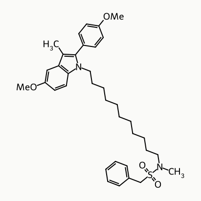 COc1ccc(-c2c(C)c3cc(OC)ccc3n2CCCCCCCCCCCN(C)S(=O)(=O)Cc2ccccc2)cc1